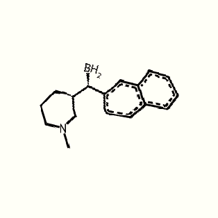 B[C@@H](c1ccc2ccccc2c1)[C@@H]1CCCN(C)C1